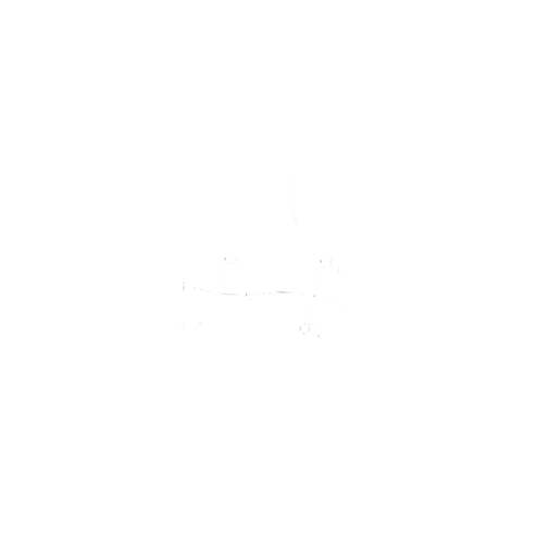 F/C=C/C(CC(F)(C(F)(F)F)C(F)(F)F)C(F)(C(F)(F)F)C(F)(F)F